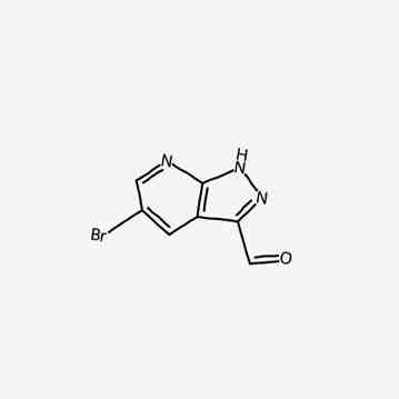 O=Cc1n[nH]c2ncc(Br)cc12